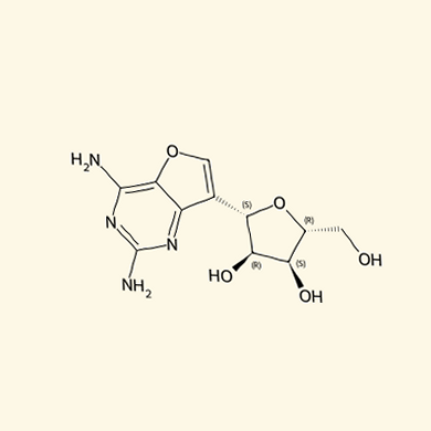 Nc1nc(N)c2occ([C@@H]3O[C@H](CO)[C@@H](O)[C@H]3O)c2n1